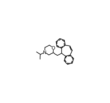 CC(C)N1CCOC(CC2c3ccccc3C=Cc3ccccc32)C1